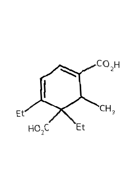 CCC1=CC=C(C(=O)O)C(C)C1(CC)C(=O)O